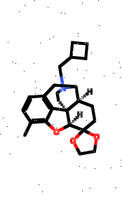 Cc1ccc2c3c1O[C@@H]1C4(CC[C@@H]5C(C2)N(CC2CCC2)CC[C@]351)OCCO4